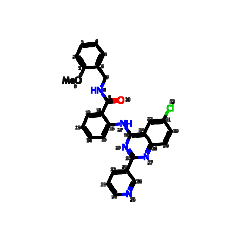 COc1ccccc1CNC(=O)c1ccccc1Nc1nc(-c2cccnc2)nc2ccc(Cl)cc12